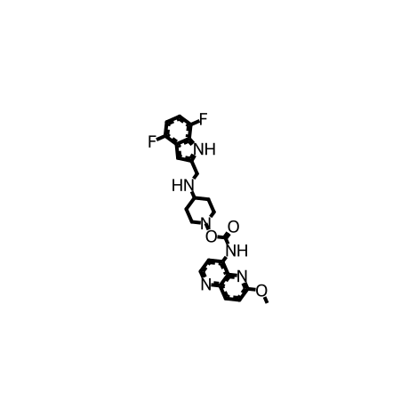 COc1ccc2nccc(NC(=O)ON3CCC(NCc4cc5c(F)ccc(F)c5[nH]4)CC3)c2n1